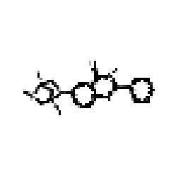 CN1C[C@@H]2C[C@H]1CN2c1ccc2nc(-c3ccccc3)n(C)c(=O)c2c1